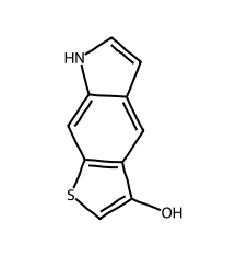 Oc1csc2cc3[nH]ccc3cc12